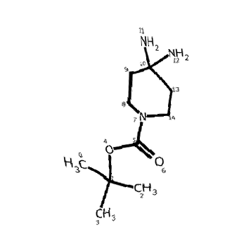 CC(C)(C)OC(=O)N1CCC(N)(N)CC1